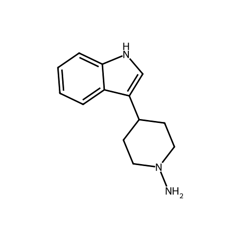 NN1CCC(c2c[nH]c3ccccc23)CC1